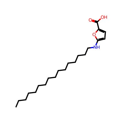 CCCCCCCCCCCCCCCCNc1ccc(C(=O)O)o1